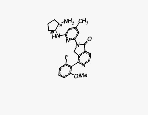 COc1cccc(F)c1-c1nccc2c1CN(c1cc(C)cc(N[C@@H]3CCC[C@@H]3N)n1)C2=O